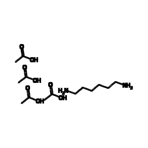 CC(=O)O.CC(=O)O.CC(=O)O.CC(=O)O.NCCCCCCN